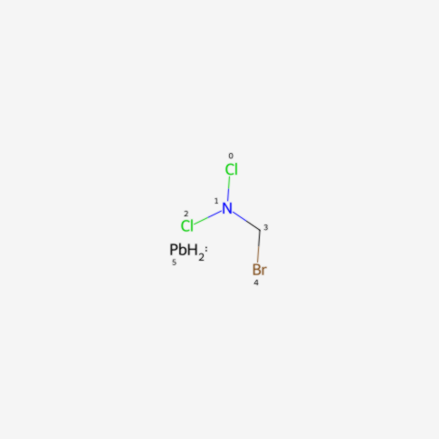 ClN(Cl)CBr.[PbH2]